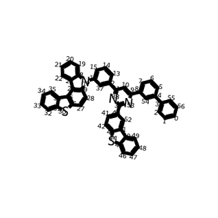 c1ccc(-c2cccc(-c3cc(-c4cccc(-n5c6ccccc6c6c7c(ccc65)sc5ccccc57)c4)nc(-c4ccc5sc6ccccc6c5c4)n3)c2)cc1